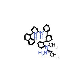 C/C=C(\N)N(C)c1ccccc1-c1cccc(-c2ccccc2NC2=CC=CC(c3cccc4ccccc34)N2)c1